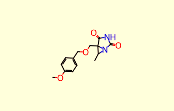 COc1ccc(COCC23C(=O)NC(=O)N2C3C)cc1